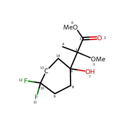 COC(=O)C(C)(OC)C1(O)CCC(F)(F)CC1